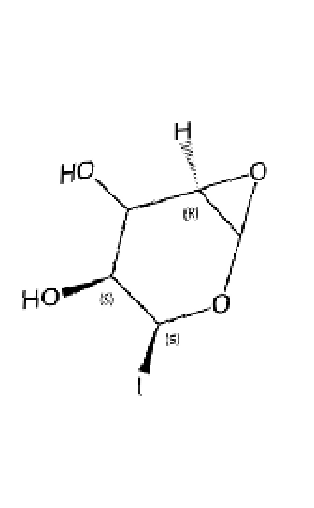 OC1[C@H]2OC2O[C@@H](I)[C@H]1O